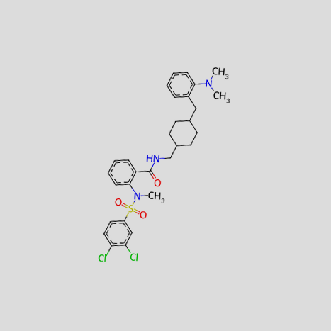 CN(C)c1ccccc1CC1CCC(CNC(=O)c2ccccc2N(C)S(=O)(=O)c2ccc(Cl)c(Cl)c2)CC1